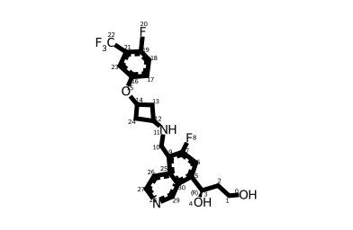 OCC[C@@H](O)c1cc(F)c(CNC2CC(Oc3ccc(F)c(C(F)(F)F)c3)C2)c2ccncc12